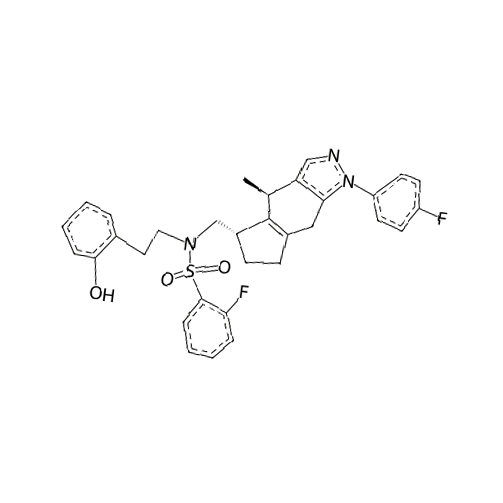 C[C@@H]1C2=C(CC[C@@H]2CN(CCc2ccccc2O)S(=O)(=O)c2ccccc2F)Cc2c1cnn2-c1ccc(F)cc1